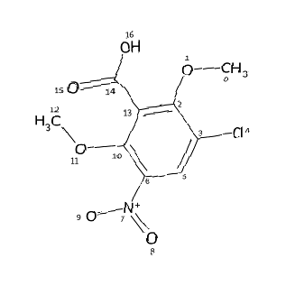 COc1c(Cl)cc([N+](=O)[O-])c(OC)c1C(=O)O